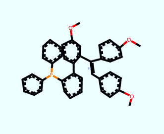 COc1ccc(/C=C(\c2ccc(OC)cc2)c2cc(OC)ccc2-c2ccccc2P(c2ccccc2)c2ccccc2)cc1